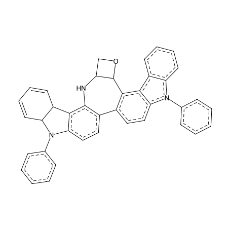 C1=CC2c3c(ccc4c3NC3COC3c3c-4ccc4c3c3ccccc3n4-c3ccccc3)N(c3ccccc3)C2C=C1